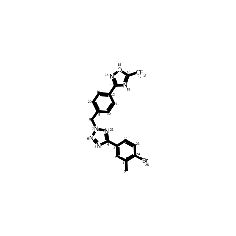 Cc1cc(-c2nnn(Cc3ccc(-c4noc(C(F)(F)F)n4)cc3)n2)ccc1Br